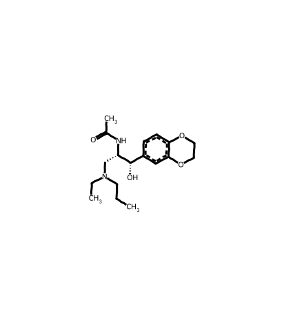 CCCN(CC)C[C@H](NC(C)=O)[C@@H](O)c1ccc2c(c1)OCCO2